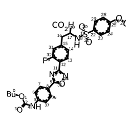 CC(C)(C)OC(=O)Nc1ccc(-c2nc(-c3ccc(CC(NS(=O)(=O)c4ccc(OC(F)(F)F)cc4)C(=O)O)cc3F)no2)cc1